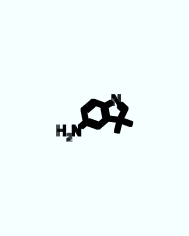 CC1(C)C=Nc2ccc(N)cc21